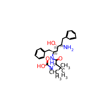 CN(C(=O)O)[C@H](C(=O)N[C@@H](Cc1ccccc1)C[C@H](O)[C@@H](N)Cc1ccccc1)C(C)(C)C